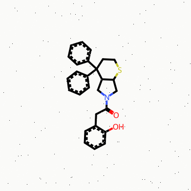 O=C(Cc1ccccc1O)N1CC2SCCC(c3ccccc3)(c3ccccc3)C2C1